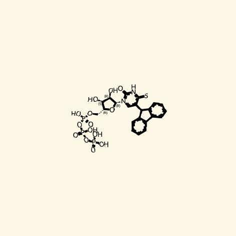 O=c1[nH]c(=S)c(C2c3ccccc3-c3ccccc32)cn1[C@@H]1O[C@H](COP(=O)(O)OP(=O)(O)OP(=O)(O)O)[C@@H](O)[C@H]1O